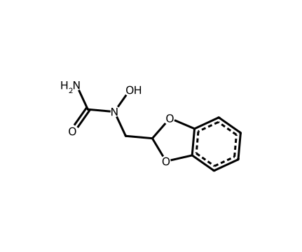 NC(=O)N(O)CC1Oc2ccccc2O1